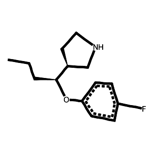 CCC[C@H](Oc1ccc(F)cc1)[C@H]1CCNC1